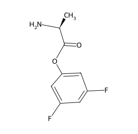 C[C@H](N)C(=O)Oc1cc(F)cc(F)c1